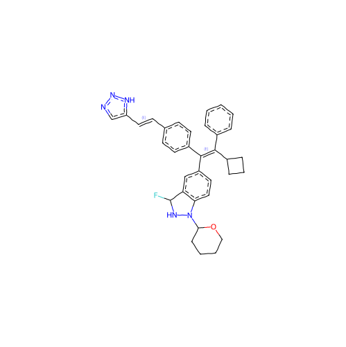 FC1NN(C2CCCCO2)c2ccc(/C(=C(/c3ccccc3)C3CCC3)c3ccc(/C=C/c4cnn[nH]4)cc3)cc21